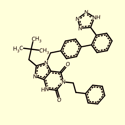 CC(C)(C)Cc1nc2[nH]c(=O)n(CCc3ccccc3)c(=O)c2n1Cc1ccc(-c2ccccc2-c2nnn[nH]2)cc1